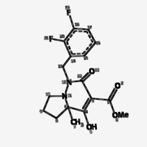 COC(=O)C1=C(O)C2(C)CCCN2N(Cc2cccc(F)c2F)C1=O